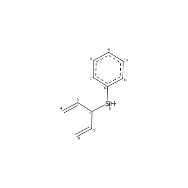 C=CC(C=C)[SiH]c1ccccc1